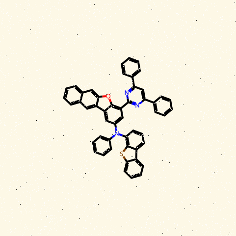 c1ccc(-c2cc(-c3ccccc3)nc(-c3cc(N(c4ccccc4)c4cccc5c4sc4ccccc45)cc4c3oc3cc5ccccc5cc34)n2)cc1